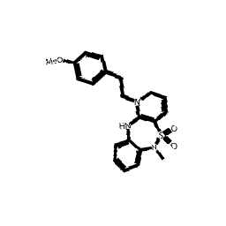 COc1ccc(CCN2CC=CC3=C2Nc2ccccc2N(C)S3(=O)=O)cc1